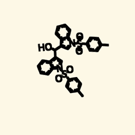 Cc1ccc(S(=O)(=O)n2cc(C(O)c3cn(S(=O)(=O)c4ccc(C)cc4)c4ccccc34)c3ccccc32)cc1